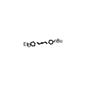 CCCC[C@H]1CC[C@H](C=CC#CC=C[C@H]2CC[C@H](OCC)CC2)CC1